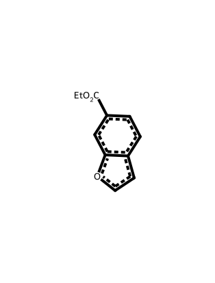 CCOC(=O)c1ccc2ccoc2c1